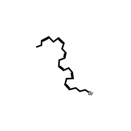 CC/C=C\C/C=C\C/C=C\C/C=C\C/C=C\C/C=C\CCCBr